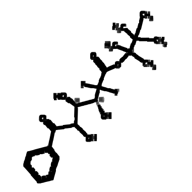 CC(C)(C)[Si](C)(C)OC(=O)C(F)(F)[C@H](O)[C@H](O)C(O)C(=O)c1ccccc1